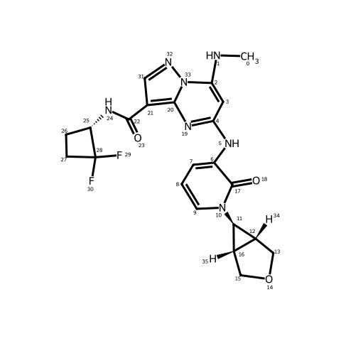 CNc1cc(Nc2cccn([C@H]3[C@@H]4COC[C@@H]43)c2=O)nc2c(C(=O)N[C@H]3CCC3(F)F)cnn12